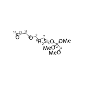 COCC(OC)(OC)O[SiH2]CCCOCC1CO1